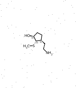 CS[C@H]1[C@H](CCN)CC[C@@H]1O